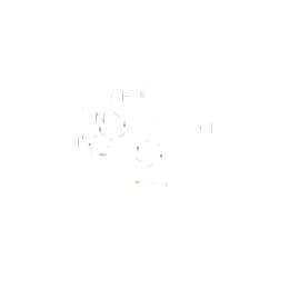 Cc1cc(-c2cc(S(=O)(=O)C3CC3)ccc2O[C@H]2C[C@@H](C)CC[C@@H]2C(C)C)c2cc[nH]c2[n+]1[O-]